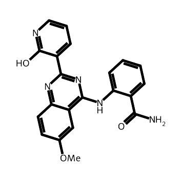 COc1ccc2nc(-c3cccnc3O)nc(Nc3ccccc3C(N)=O)c2c1